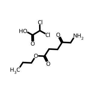 CCCOC(=O)CCC(=O)CN.O=C(O)C(Cl)Cl